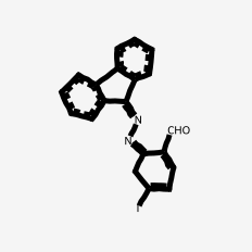 O=CC1=CC=C(I)CC1=NN=C1c2ccccc2-c2ccccc21